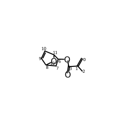 C=C(C)C(=O)OC1CC2C=CC1O2